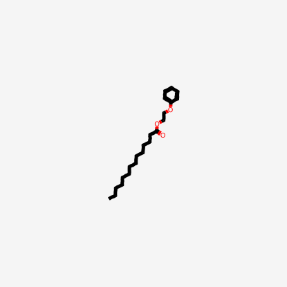 CCCCCCCCCCCCCC(=O)OCCOc1ccccc1